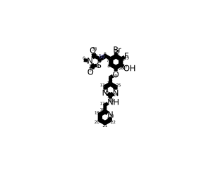 CN1C(=O)S/C(=C\c2cc(OCc3cnc(NCc4ccccn4)nc3)c(O)c(F)c2Br)C1=O